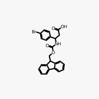 O=C(O)CC(NC(=O)OCC1c2ccccc2-c2ccccc21)c1ccc(Br)cc1